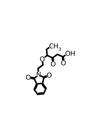 CCC(OCCN1C(=O)c2ccccc2C1=O)C(=O)CC(=O)O